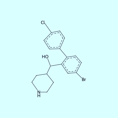 OC(c1cc(Br)ccc1-c1ccc(Cl)cc1)C1CCNCC1